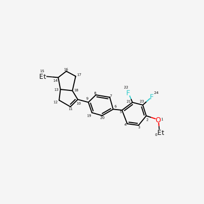 CCOc1ccc(-c2ccc(C3=CCC4C(CC)CCC34)cc2)c(F)c1F